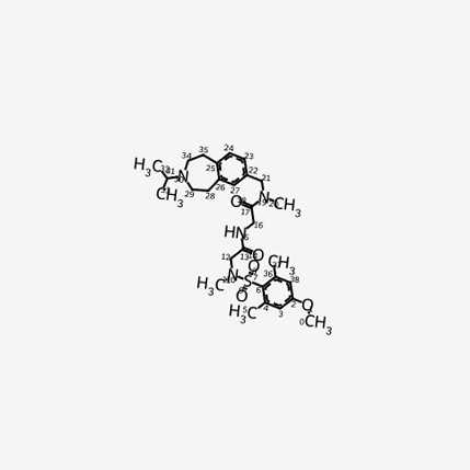 COc1cc(C)c(S(=O)(=O)N(C)CC(=O)NCC(=O)N(C)Cc2ccc3c(c2)CCN(C(C)C)CC3)c(C)c1